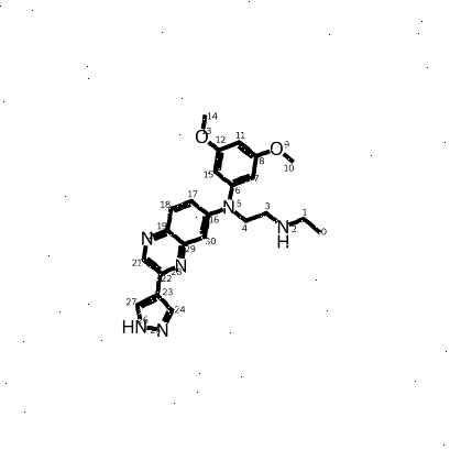 CCNCCN(c1cc(OC)cc(OC)c1)c1ccc2ncc(-c3cn[nH]c3)nc2c1